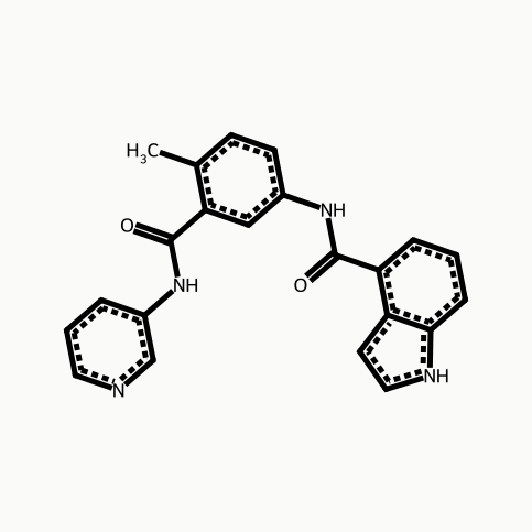 Cc1ccc(NC(=O)c2cccc3[nH]ccc23)cc1C(=O)Nc1cccnc1